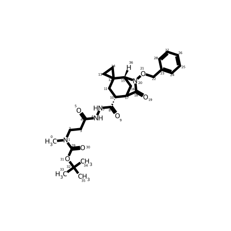 CN(CCC(=O)NNC(=O)[C@@H]1CC2(CC2)[C@H]2CC1C(=O)N2OCc1ccccc1)C(=O)OC(C)(C)C